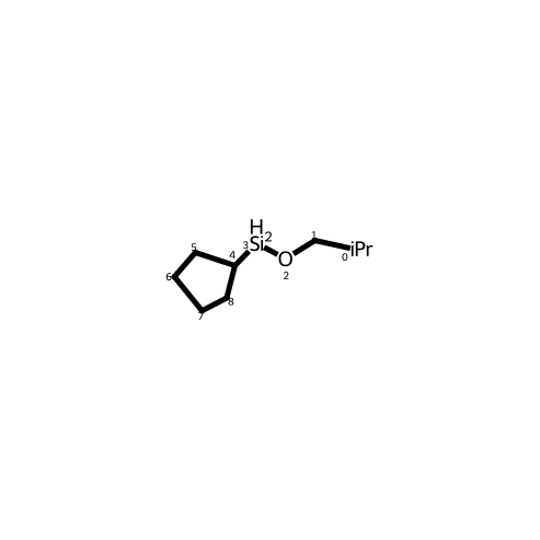 CC(C)CO[SiH2]C1CCCC1